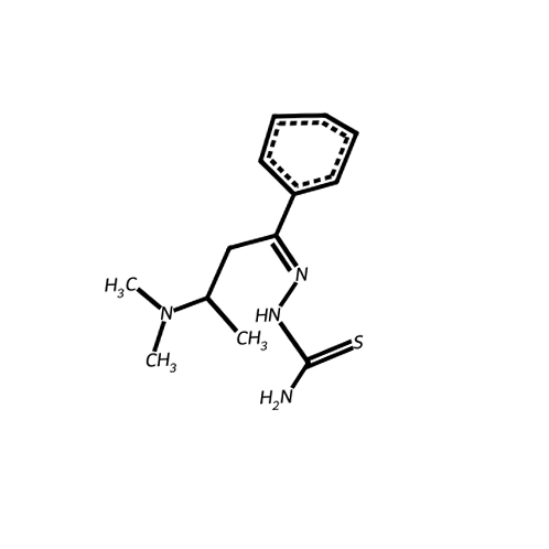 CC(CC(=NNC(N)=S)c1ccccc1)N(C)C